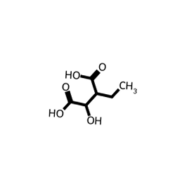 CCC(C(=O)O)C(O)C(=O)O